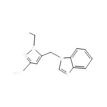 CCn1nc(C)cc1Cn1cnc2ccccc21